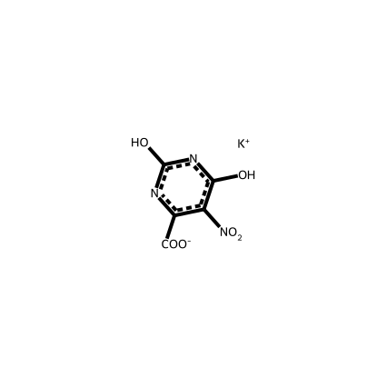 O=C([O-])c1nc(O)nc(O)c1[N+](=O)[O-].[K+]